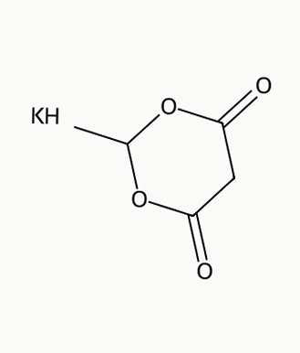 CC1OC(=O)CC(=O)O1.[KH]